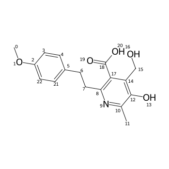 COc1ccc(CCc2nc(C)c(O)c(CO)c2C(=O)O)cc1